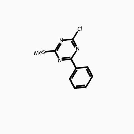 CSc1nc(Cl)nc(-c2ccccc2)n1